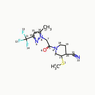 CSC1CN(C(=O)Cn2nc(C(F)(F)F)cc2C)CCC1C#N